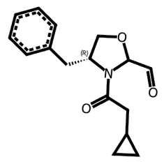 O=CC1OC[C@@H](Cc2ccccc2)N1C(=O)CC1CC1